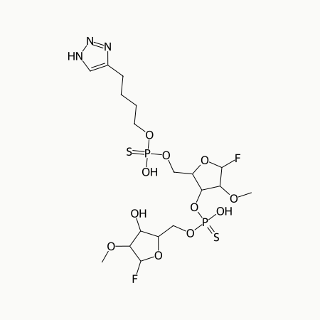 COC1C(F)OC(COP(O)(=S)OC2C(COP(O)(=S)OCCCCc3c[nH]nn3)OC(F)C2OC)C1O